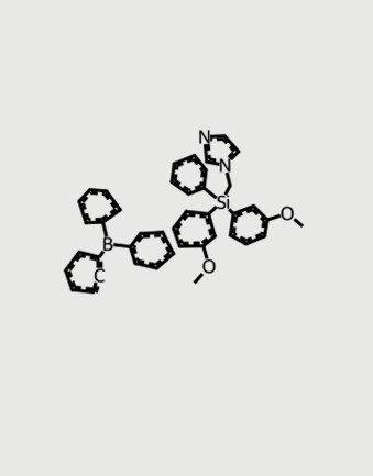 COc1cccc([Si](Cn2ccnc2)(c2ccccc2)c2cccc(OC)c2)c1.c1ccc(B(c2ccccc2)c2ccccc2)cc1